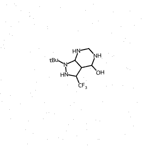 CC(C)(C)N1NC(C(F)(F)F)C2C(O)NCNC21